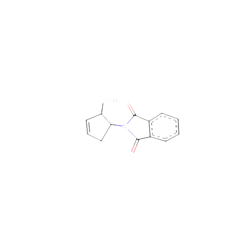 O=C(O)C1C=CCC1N1C(=O)c2ccccc2C1=O